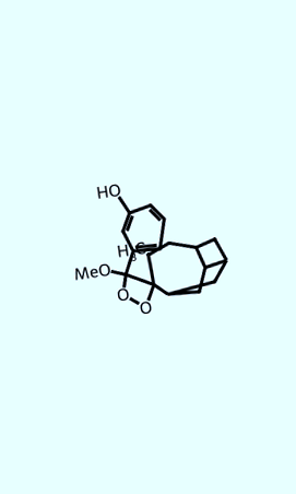 COC1(c2cccc(O)c2)OOC12C(C)CC1CC3CC2CC13